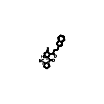 N#C[C@@H]1CCCN1C(=O)[C@H]1NCC(=S)C1C(=O)CCC1=Cc2ccccc2C1